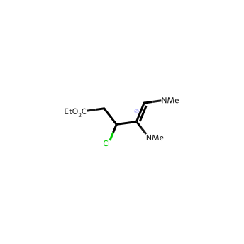 CCOC(=O)CC(Cl)/C(=C/NC)NC